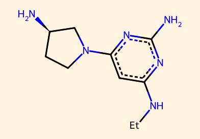 CCNc1cc(N2CC[C@@H](N)C2)nc(N)n1